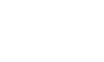 CCCc1ccc([SiH](C)C)cc1